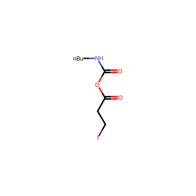 CCCCNC(=O)OC(=O)CCI